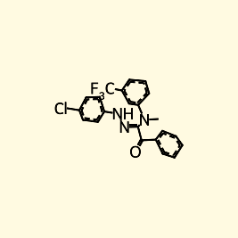 CN(C(=NNc1ccc(Cl)cc1)C(=O)c1ccccc1)c1cccc(C(F)(F)F)c1